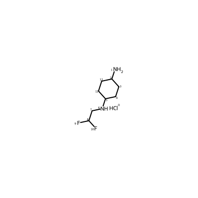 Cl.NC1CCC(NCC(F)F)CC1